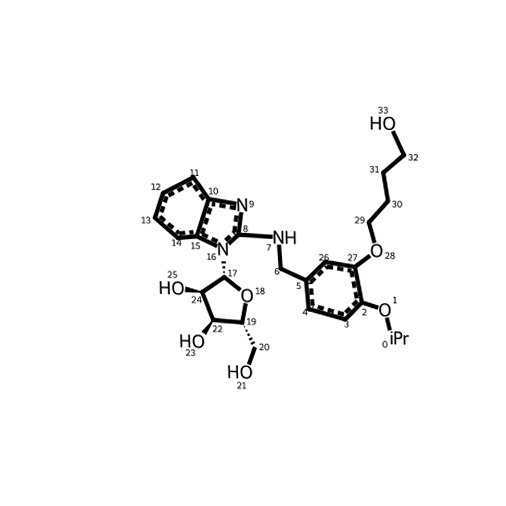 CC(C)Oc1ccc(CNc2nc3ccccc3n2[C@@H]2O[C@H](CO)[C@@H](O)[C@H]2O)cc1OCCCCO